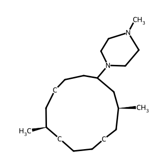 C[C@@H]1CCCCC[C@H](C)CC(N2CCN(C)CC2)CCCC1